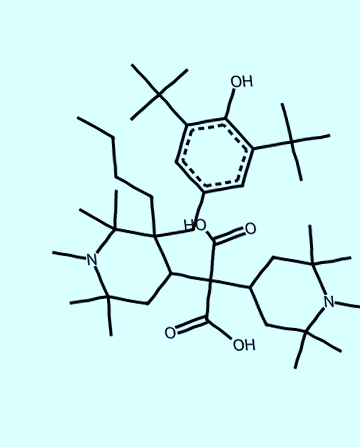 CCCCC1(Cc2cc(C(C)(C)C)c(O)c(C(C)(C)C)c2)C(C(C(=O)O)(C(=O)O)C2CC(C)(C)N(C)C(C)(C)C2)CC(C)(C)N(C)C1(C)C